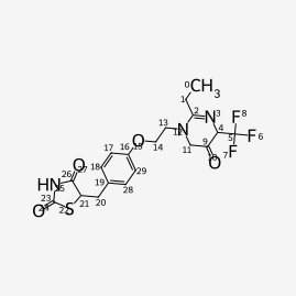 CCC1=NC(C(F)(F)F)C(=O)CN1CCOc1ccc(CC2SC(=O)NC2=O)cc1